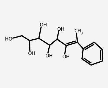 CC(=C(O)C(O)C(O)C(O)C(O)CO)c1ccccc1